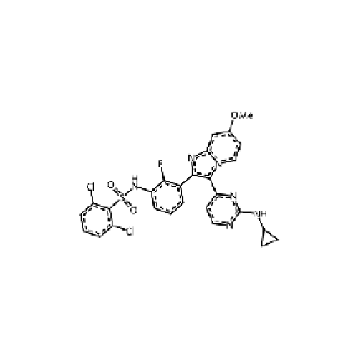 COc1ccn2c(-c3ccnc(NC4CC4)n3)c(-c3cccc(NS(=O)(=O)c4c(Cl)cccc4Cl)c3F)nc2c1